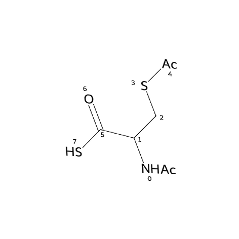 CC(=O)NC(CSC(C)=O)C(=O)S